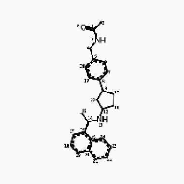 CC(=O)NCc1ccc(C2CCC(N[C@H](C)c3cccc4ccccc34)C2)cc1